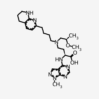 CO[C@H](C)CN(CCCCc1ccc2c(n1)NCCC2)CC[C@H](Nc1ncnc2c1cnn2C)C(=O)O